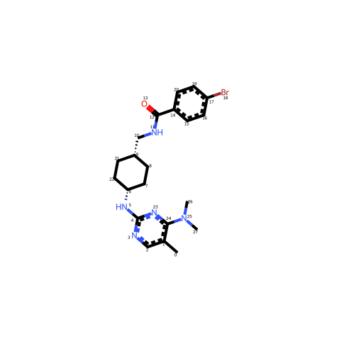 Cc1cnc(N[C@H]2CC[C@@H](CNC(=O)c3ccc(Br)cc3)CC2)nc1N(C)C